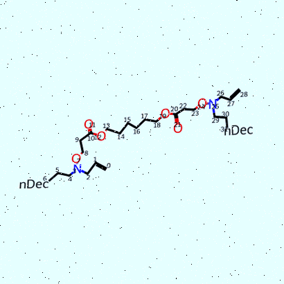 C=CCN(CCCCCCCCCCCC)OCCC(=O)OCCCCCCOC(=O)CCON(CC=C)CCCCCCCCCCCC